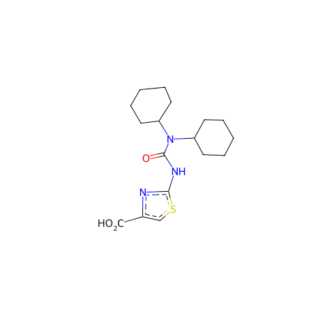 O=C(O)c1csc(NC(=O)N(C2CCCCC2)C2CCCCC2)n1